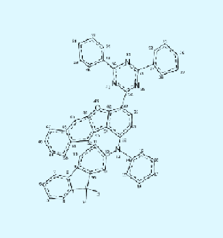 CC1(C)c2ccccc2-c2ccc(N(c3ccccc3)c3ccc(-c4nc(-c5ccccc5)nc(-c5ccccc5)n4)c4oc5cc6ccccc6cc5c34)cc21